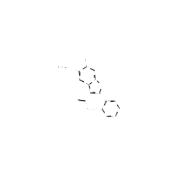 CNC(=O)c1c(-c2ccc(F)cc2)oc2cc(C=O)c(OC)cc12